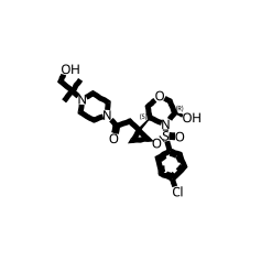 CC(C)(CO)N1CCN(C(=O)CC2([C@H]3COC[C@@H](O)N3S(=O)(=O)c3ccc(Cl)cc3)CC2)CC1